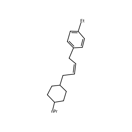 CCCC1CCC(C/C=C\Cc2ccc(CC)cc2)CC1